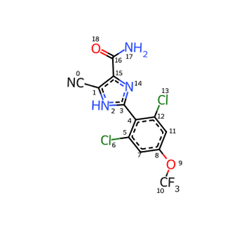 N#Cc1[nH]c(-c2c(Cl)cc(OC(F)(F)F)cc2Cl)nc1C(N)=O